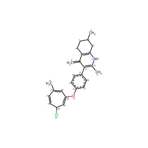 C=C1C2=C(CC(C)CC2)NC(C)=C1c1ccc(OC2=CC(Cl)C=CC(C)=C2)cc1